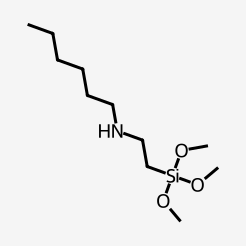 CCCCCCNCC[Si](OC)(OC)OC